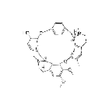 COc1cc2c3c(c1OC)Oc1cc4c(cc1C)CCN(C)[C@H]4Cc1ccc(cc1)Oc1cc(ccc1O)C[C@@H]3N(C)CC2